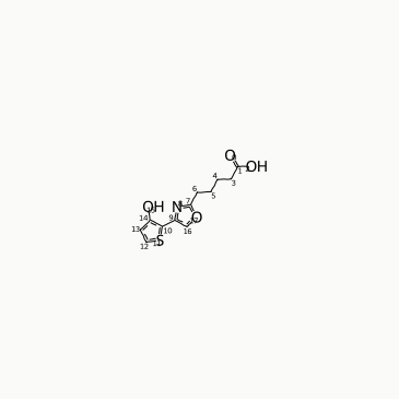 O=C(O)CCCCc1nc(-c2sccc2O)co1